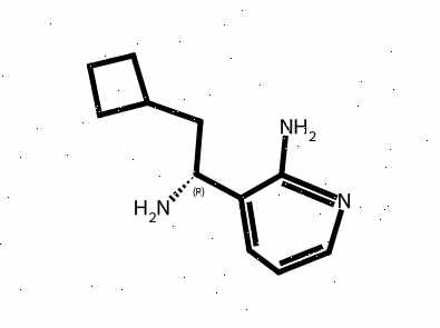 Nc1ncccc1[C@H](N)CC1CCC1